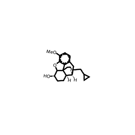 COc1ccc2c3c1OC1[C@H](O)CC[C@@H]4[C@H](C2)N(CC2CC2)CCC314